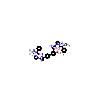 COc1ccc(-c2ccc(-c3cnc([C@@H]4CCCN4C(=O)[C@@H](c4ccccc4)N(C)C)[nH]3)cc2)cc1-c1c[nH]c([C@@H]2CCCN2C(=O)C(c2ccccc2)N(C)C)n1